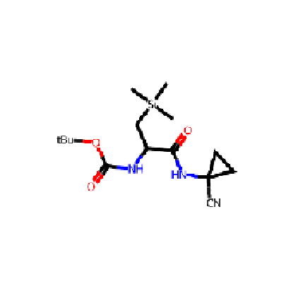 CC(C)(C)OC(=O)NC(C[Si](C)(C)C)C(=O)NC1(C#N)CC1